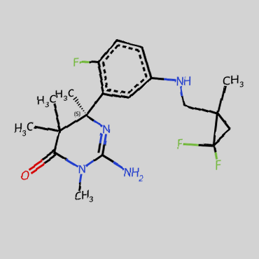 CN1C(=O)C(C)(C)[C@@](C)(c2cc(NCC3(C)CC3(F)F)ccc2F)N=C1N